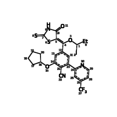 CCC(I)O/C(=C1/SC(=S)NC1=O)c1cc(OC2CCCC2)c(C#N)c(-c2cc(C(F)(F)F)ccn2)c1